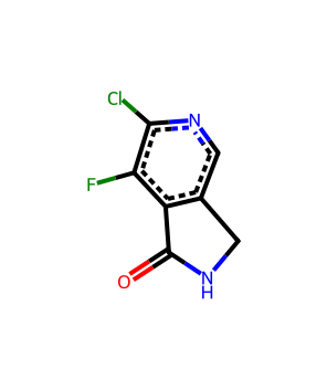 O=C1NCc2cnc(Cl)c(F)c21